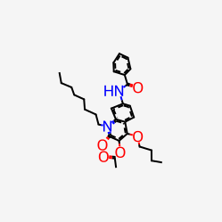 CCCCCCCCn1c(=O)c(OC(C)=O)c(OCCCC)c2ccc(NC(=O)c3ccccc3)cc21